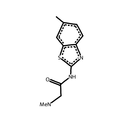 CNCC(=O)Nc1nc2ccc(C)cc2s1